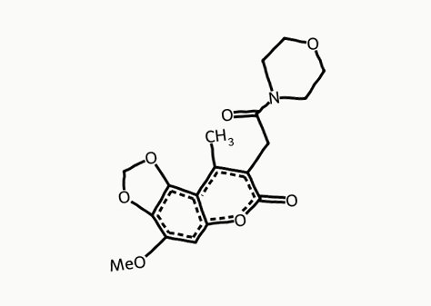 COc1cc2oc(=O)c(CC(=O)N3CCOCC3)c(C)c2c2c1OCO2